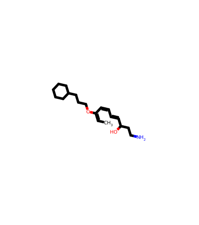 C\C=C(/C=C\C=C\C(O)CCN)OCCCC1CCCCC1